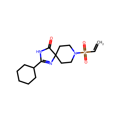 C=CS(=O)(=O)N1CCC2(CC1)N=C(C1CCCCC1)NC2=O